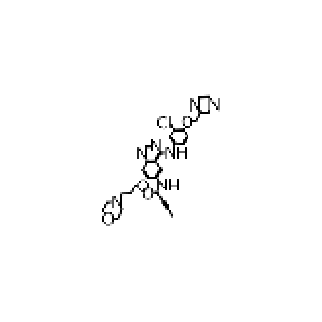 CC#CC(=O)Nc1cc2c(Nc3ccc(OCc4cnccn4)c(Cl)c3)ncnc2cc1OCCCN1CCOCC1